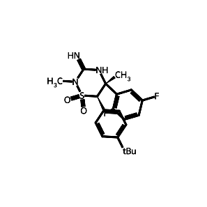 CN1C(=N)N[C@](C)(c2cc(F)ccc2F)[C@@H](c2ccc(C(C)(C)C)cc2)S1(=O)=O